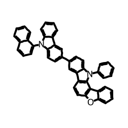 c1ccc(-n2c3ccc(-c4ccc5c(c4)c4ccccc4n5-c4cccc5ccccc45)cc3c3ccc4oc5ccccc5c4c32)cc1